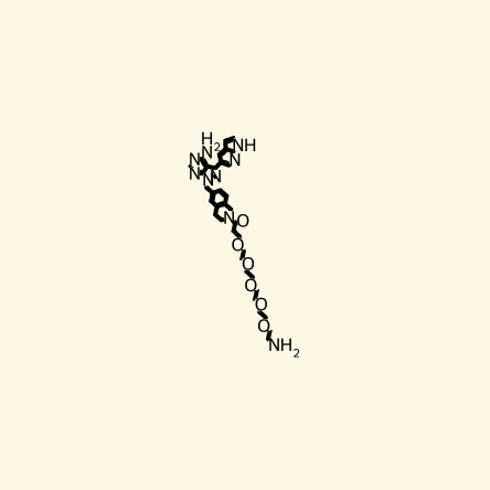 NCCOCCOCCOCCOCCOCCC(=O)N1CCc2cc(Cn3nc(-c4cnc5[nH]ccc5c4)c4c(N)ncnc43)ccc2C1